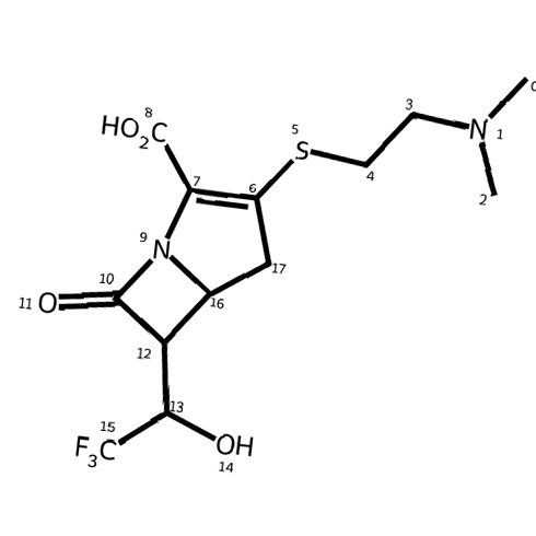 CN(C)CCSC1=C(C(=O)O)N2C(=O)C(C(O)C(F)(F)F)C2C1